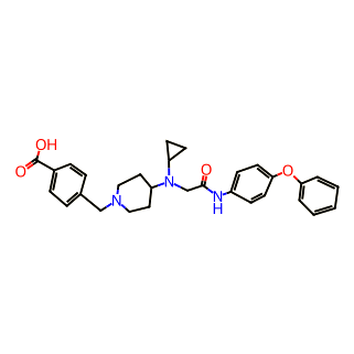 O=C(CN(C1CC1)C1CCN(Cc2ccc(C(=O)O)cc2)CC1)Nc1ccc(Oc2ccccc2)cc1